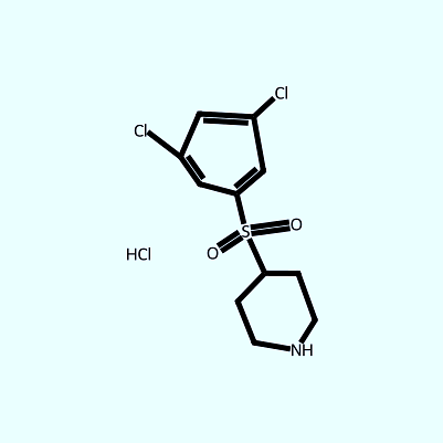 Cl.O=S(=O)(c1cc(Cl)cc(Cl)c1)C1CCNCC1